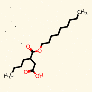 CCCCCCCCCOC(=O)C(CCCC)CC(=O)O